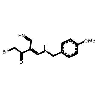 COc1ccc(CN/C=C(\C=N)C(=O)CBr)cc1